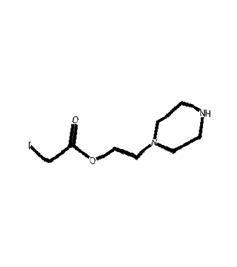 O=C(CI)OCCN1CCNCC1